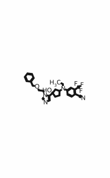 CCN(c1ccc(C#N)c(C(F)(F)F)c1)C1CCC(O)(c2cncn2CCOCc2ccccc2)C1